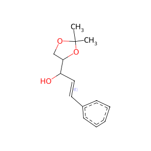 CC1(C)OCC(C(O)/C=C/c2ccccc2)O1